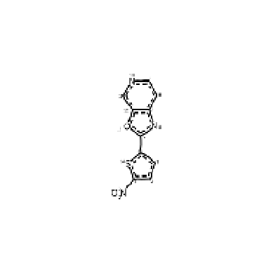 O=[N+]([O-])c1ccc(-c2nc3ccncc3o2)s1